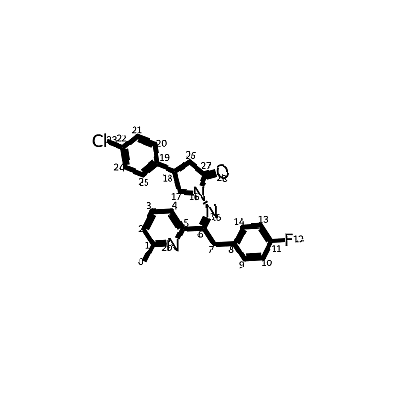 Cc1cccc(C(Cc2ccc(F)cc2)=NN2CC(c3ccc(Cl)cc3)CC2=O)n1